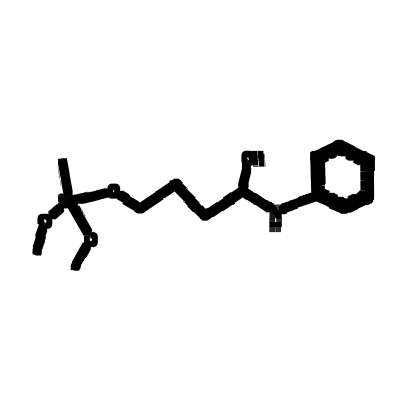 CO[Si](C)(OC)OCCCC(O)Nc1ccccc1